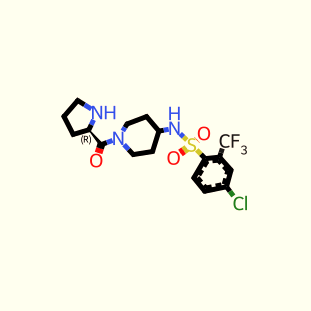 O=C([C@H]1CCCN1)N1CCC(NS(=O)(=O)c2ccc(Cl)cc2C(F)(F)F)CC1